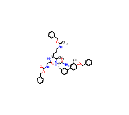 C=C(NCCC[C@H](NC(=O)CNC(=O)OCc1ccccc1)C(=C)N[C@@H](Cc1cccc(-c2ccc(OCc3ccccc3)c(C)c2)c1)C(N)=O)OCc1ccccc1